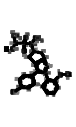 CCOc1ccccc1-n1nc2c(c1-c1ccc(Cl)cc1)C[C@@H](N(C)S(=O)(=O)N(C)C)C2